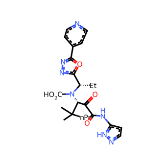 CCCC(C)(C)[C@@H](C(=O)C(=O)Nc1ccn[nH]1)N(C(=O)O)[C@@H](CC)c1nnc(-c2ccncc2)o1